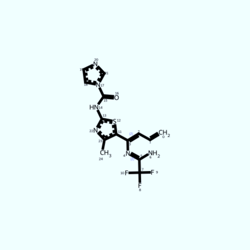 C=C/C=C(\N=C(/N)C(F)(F)F)c1sc(NC(=O)n2ccnc2)nc1C